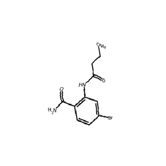 COCCC(=O)Nc1cc(Br)ccc1C(N)=O